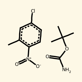 CC(C)(C)OC(N)=O.Cc1cc(Cl)ccc1[N+](=O)[O-]